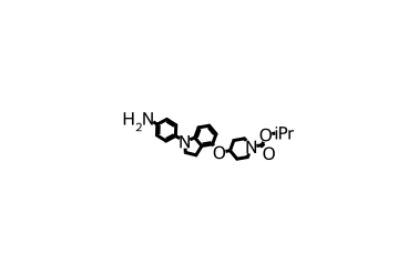 CC(C)OC(=O)N1CCC(Oc2cccc3c2CCN3c2ccc(N)cc2)CC1